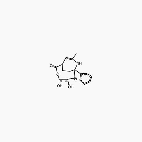 CC1=CC2CCC(c3ccccc3)(N1)C(=O)[C@@H](O)[C@H](O)CC2=O